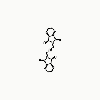 O=C1c2ccccc2C(=O)N1[CH2][Zn][CH2]N1C(=O)c2ccccc2C1=O